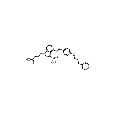 O=C(O)CCCn1cc(C(=O)O)c2c(C=Cc3ccc(OCCCc4ccccc4)cc3)cccc21